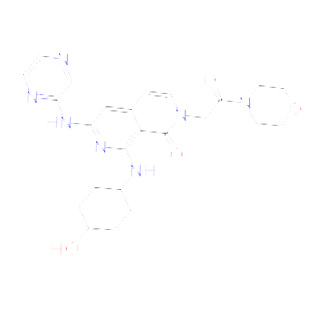 O=C(Cn1ccc2cc(Nc3cnccn3)nc(NC3CCC(O)CC3)c2c1=O)N1CCOCC1